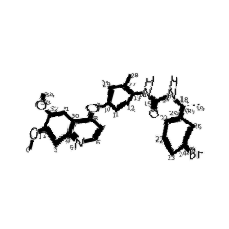 COc1cc2nccc(Oc3ccc(NC(=O)N[C@H](C)c4cccc(Br)c4)c(C)c3)c2cc1OC